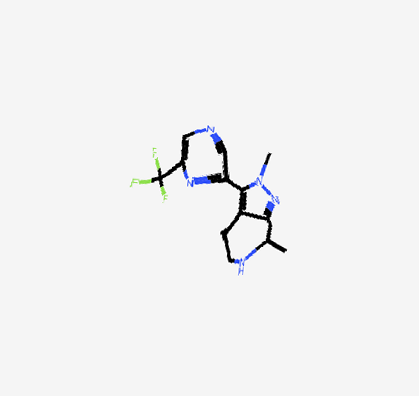 CC1NCCc2c1nn(C)c2-c1cncc(C(F)(F)F)n1